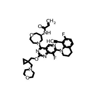 C#Cc1c(F)ccc2c1N(c1ncc3c(N4CCOC[C@@H](NC(=O)C=C)C4)nc(OCC4(CN5CCOCC5)CC4)nc3c1F)CCC2